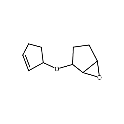 C1=CC(OC2CCC3OC23)CC1